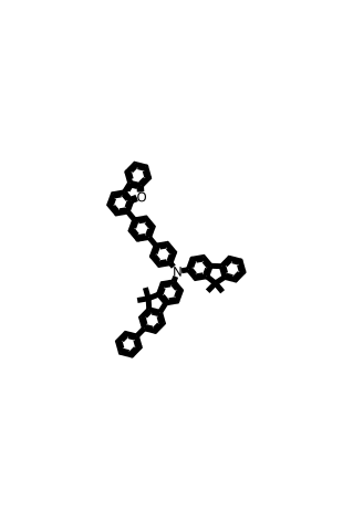 CC1(C)c2ccccc2-c2ccc(N(c3ccc(-c4ccc(-c5cccc6c5oc5ccccc56)cc4)cc3)c3ccc4c(c3)C(C)(C)c3cc(-c5ccccc5)ccc3-4)cc21